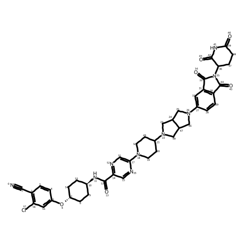 N#Cc1ccc(O[C@H]2CC[C@H](NC(=O)c3cnc(N4CCC(N5CC6CN(c7ccc8c(c7)C(=O)N(C7CCC(=O)NC7=O)C8=O)CC6C5)CC4)cn3)CC2)cc1Cl